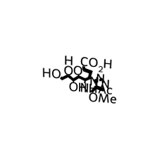 COCc1cnnn1[C@H]1C=C(C(=O)O)O[C@@H]([C@H](O)C(O)CO)[C@@H]1NC(C)=O